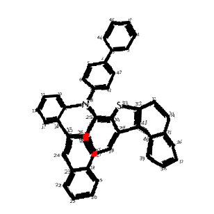 c1ccc(-c2ccc(N(c3ccccc3-c3ccc4ccccc4c3)c3cccc4c3sc3ccc5ccccc5c34)cc2)cc1